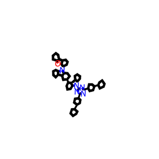 c1ccc(-c2ccc(-c3nc(-c4ccc(-c5ccccc5)cc4)nc(-n4c5ccccc5c5c(-c6ccc7c(c6)c6ccccc6n7-c6cccc7c6oc6ccccc67)cccc54)n3)cc2)cc1